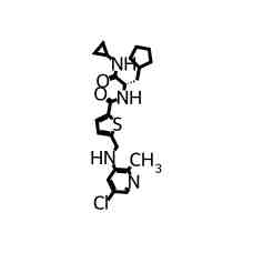 Cc1ncc(Cl)cc1NCc1ccc(C(=O)N[C@@H](CC2CCCC2)C(=O)NC2CC2)s1